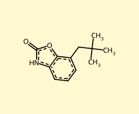 CC(C)(C)Cc1cccc2[nH]c(=O)oc12